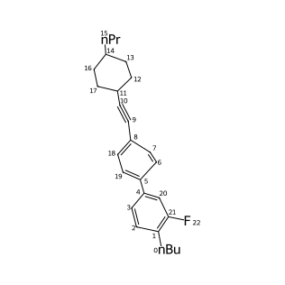 CCCCc1ccc(-c2ccc(C#CC3CCC(CCC)CC3)cc2)cc1F